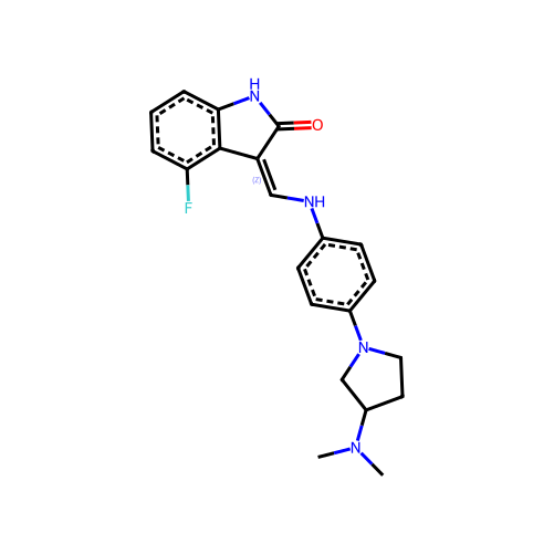 CN(C)C1CCN(c2ccc(N/C=C3\C(=O)Nc4cccc(F)c43)cc2)C1